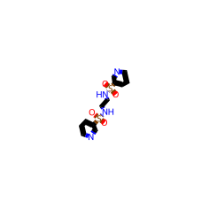 O=S(=O)(NCCNS(=O)(=O)c1cccnc1)c1cccnc1